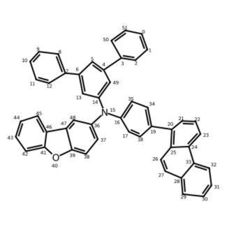 c1ccc(-c2cc(-c3ccccc3)cc(N(c3ccc(-c4cccc5c4ccc4ccccc45)cc3)c3ccc4oc5ccccc5c4c3)c2)cc1